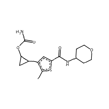 Cc1sc(C(=O)NC2CCOCC2)cc1C1CC1OC(N)=O